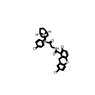 O=C(CNC(=O)c1c(Cl)ccc2c1Cc1cc(Cl)ccc1O2)N[C@H]1C[C@H]2CC[C@@H](C1)N2Cc1ccc(Cl)cc1